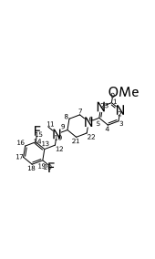 COc1nccc(N2CCC(N(C)Cc3c(F)cccc3F)CC2)n1